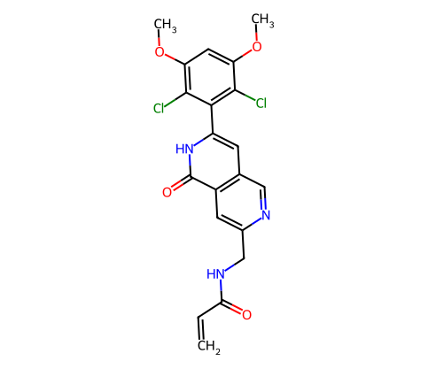 C=CC(=O)NCc1cc2c(=O)[nH]c(-c3c(Cl)c(OC)cc(OC)c3Cl)cc2cn1